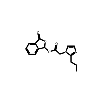 CCCc1nccn1CC(=O)OC1OC(=O)c2ccccc21